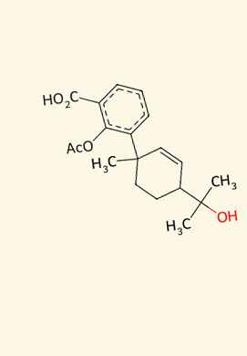 CC(=O)Oc1c(C(=O)O)cccc1C1(C)C=CC(C(C)(C)O)CC1